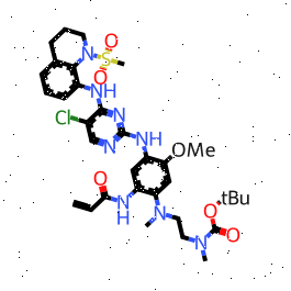 C=CC(=O)Nc1cc(Nc2ncc(Cl)c(Nc3cccc4c3N(S(C)(=O)=O)CCC4)n2)c(OC)cc1N(C)CCN(C)C(=O)OC(C)(C)C